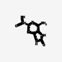 N=[SH](=O)c1nc(N)c2[nH]c(=O)[nH]c2n1